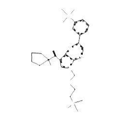 CC1(C(=O)c2cn(COCC[Si](C)(C)C)c3ncc(-c4cccc([Si](C)(C)C)c4)nc23)CCCC1